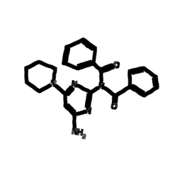 Nc1cc(N2CCCCC2)nc(N(C(=O)c2ccccc2)C(=O)c2ccccc2)n1